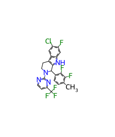 Cc1ccc(C2c3[nH]c4cc(F)c(Cl)cc4c3CCN2c2nccc(C(F)(F)F)n2)c(F)c1F